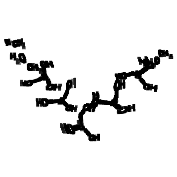 O.O.O.O.O.OB(O)O.OB(O)O.OB(O)O.OB(O)O.OB(O)O.[K]